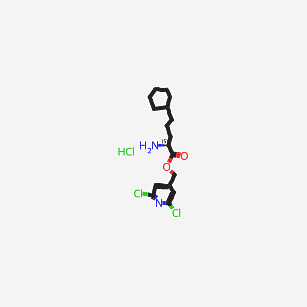 Cl.N[C@@H](CCCC1CCCCC1)C(=O)OCc1cc(Cl)nc(Cl)c1